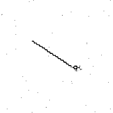 CCCCCCCCCCCCCCCCCCCCCCCCCCCCCCOc1ccc(C(=O)O)c(O)c1